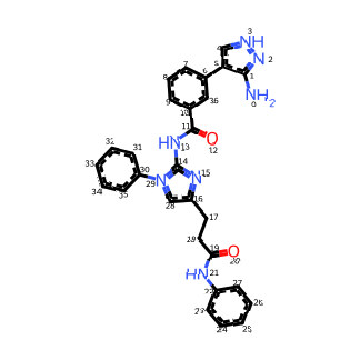 Nc1n[nH]cc1-c1cccc(C(=O)Nc2nc(CCC(=O)Nc3ccccc3)cn2-c2ccccc2)c1